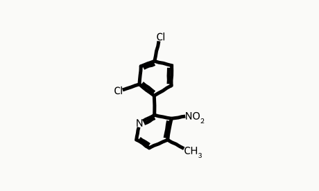 Cc1ccnc(-c2ccc(Cl)cc2Cl)c1[N+](=O)[O-]